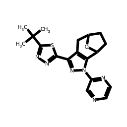 CC(C)(C)c1nnc(-c2nn(-c3cnccn3)c3c2CC2CCC3O2)s1